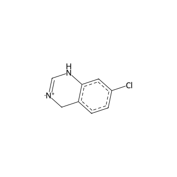 Clc1ccc2c(c1)NC=[N+]C2